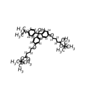 CN(C)c1ccc(C(O)(c2ccc(OCCCC(=O)OC(C)(C)C)cc2)c2ccc(OCCCC(=O)OC(C)(C)C)cc2)cc1